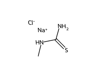 CNC(N)=S.[Cl-].[Na+]